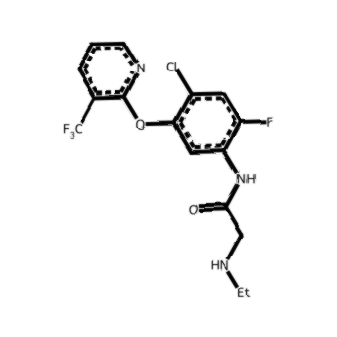 CCNCC(=O)Nc1cc(Oc2ncccc2C(F)(F)F)c(Cl)cc1F